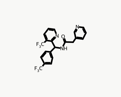 O=C(Cc1cccnc1)NC(c1ccc(C(F)(F)F)cc1)c1ncccc1C(F)(F)F